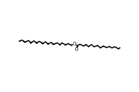 CCCCCCCCCCCCCCCCCCCOC(=O)CCCCCCCCCCCCCCC